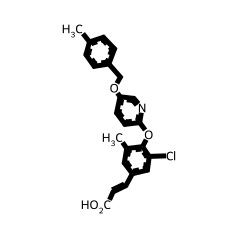 Cc1ccc(COc2ccc(Oc3c(C)cc(C=CC(=O)O)cc3Cl)nc2)cc1